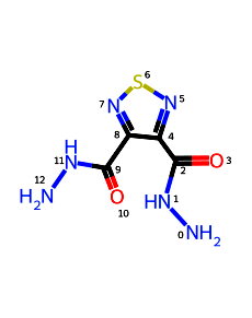 NNC(=O)c1nsnc1C(=O)NN